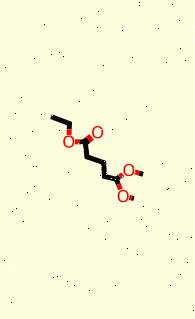 CCOC(=O)CCCC(OC)OC